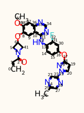 C=CC(=O)N1CC(Oc2cc3c(Nc4ccc(Oc5ccn(-c6cnc(C)cn6)n5)cc4F)ncnc3cc2OC)C1